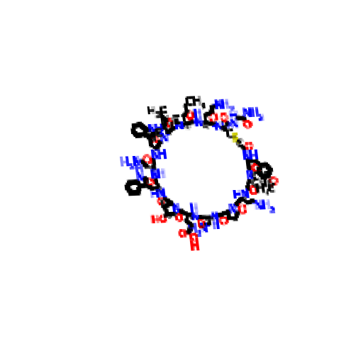 CCCC[C@H]1C(=O)N(C)[C@@H](CCCC)C(=O)N[C@@H](CCCN)C(=O)N[C@H](C(=O)NCC(N)=O)CSCC(=O)N[C@@H](Cc2ccc(OC)cc2)C(=O)N(C)[C@@H](C)C(=O)N[C@@H](CCN)C(=O)N2CCCC2C(=O)N[C@@H](CN)C(=O)N[C@@H](CCC(=O)O)C(=O)N2C[C@H](O)C[C@H]2C(=O)N[C@@H](Cc2c[nH]c3ccccc23)C(=O)N[C@@H](CCN)C(=O)N[C@@H](Cc2c[nH]c3ccccc23)C(=O)N1C